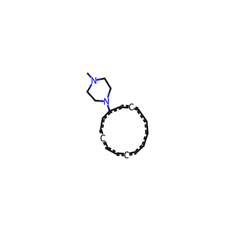 CN1CCN(c2ccccccccccccc2)CC1